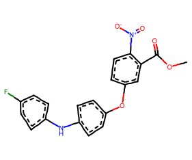 COC(=O)c1cc(Oc2ccc(Nc3ccc(F)cc3)cc2)ccc1[N+](=O)[O-]